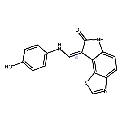 O=C1Nc2ccc3ncsc3c2/C1=C/Nc1ccc(O)cc1